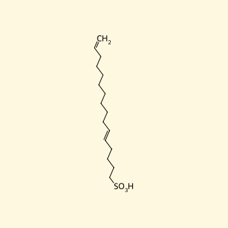 C=CCCCCCCCCC=CCCCCS(=O)(=O)O